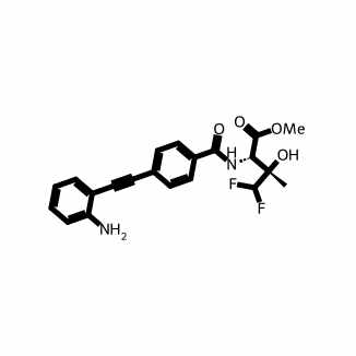 COC(=O)[C@@H](NC(=O)c1ccc(C#Cc2ccccc2N)cc1)[C@](C)(O)C(F)F